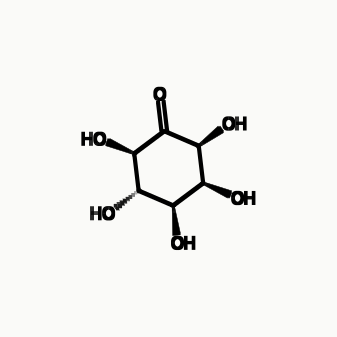 O=C1[C@@H](O)[C@@H](O)[C@@H](O)[C@H](O)[C@H]1O